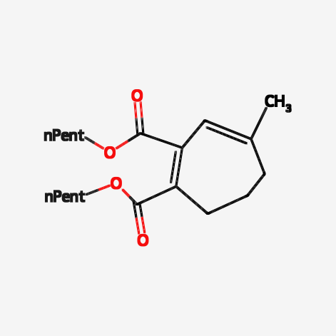 CCCCCOC(=O)C1=C(C(=O)OCCCCC)CCCC(C)=C1